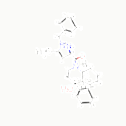 Cc1cc(C(=O)N2CCC(O)(c3ccccc3)[C@H]3CCCC[C@@H]32)nn1Cc1ccccc1